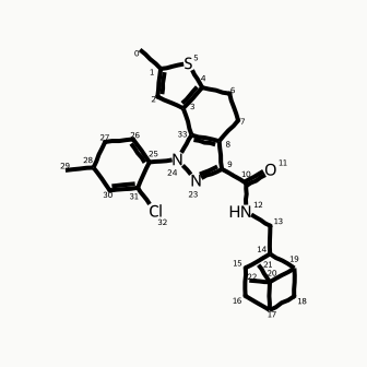 Cc1cc2c(s1)CCc1c(C(=O)NCC3CCC4CC3C4(C)C)nn(C3=CCC(C)C=C3Cl)c1-2